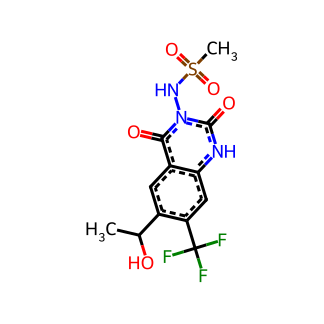 CC(O)c1cc2c(=O)n(NS(C)(=O)=O)c(=O)[nH]c2cc1C(F)(F)F